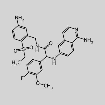 CCS(=O)(=O)c1ccc(N)cc1CNC(=O)C(Nc1ccc2c(N)nccc2c1)c1ccc(F)c(OC)c1